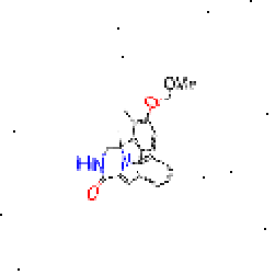 COCOc1ccc(C)c(C2(C)CNC(=O)c3cc4ccccc4n32)c1C